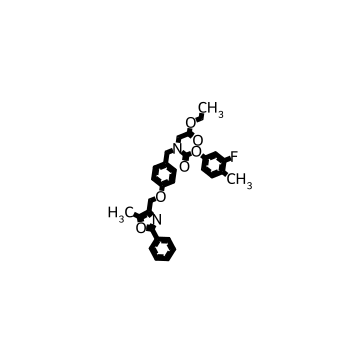 CCOC(=O)CN(Cc1ccc(OCc2nc(-c3ccccc3)oc2C)cc1)C(=O)Oc1ccc(C)c(F)c1